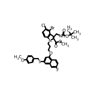 COC(=O)c1c(CNC(=O)OC(C)(C)C)c2c(Br)c(Cl)ccc2n1CCCOc1cc(SCc2ccc(OC)cc2)cc2cc(F)ccc12